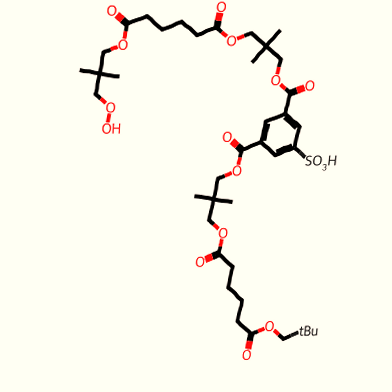 CC(C)(C)COC(=O)CCCCC(=O)OCC(C)(C)COC(=O)c1cc(C(=O)OCC(C)(C)COC(=O)CCCCC(=O)OCC(C)(C)COO)cc(S(=O)(=O)O)c1